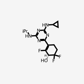 CC(C)Nc1nc(NC2CC2)nc(C2=C(F)[C@@H](O)C(F)(F)CC2)n1